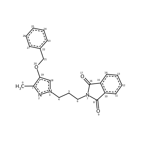 Cc1nn(CCCN2C(=O)c3ccccc3C2=O)cc1OCc1ccccc1